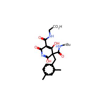 CCCCNC(=O)C1(Cc2ccc(C)cc2C)C(O)=NC(=O)C(C(=O)NCC(=O)O)=C1O